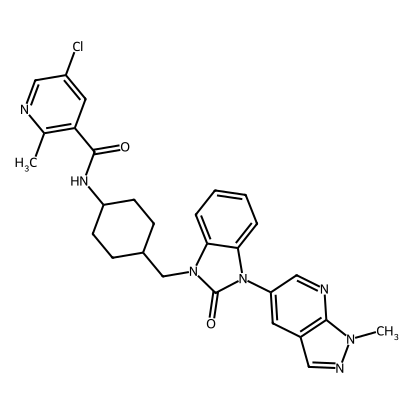 Cc1ncc(Cl)cc1C(=O)NC1CCC(Cn2c(=O)n(-c3cnc4c(cnn4C)c3)c3ccccc32)CC1